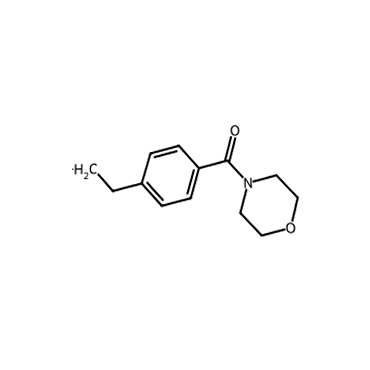 [CH2]Cc1ccc(C(=O)N2CCOCC2)cc1